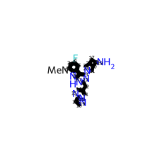 CNc1cc(F)cc2c1[nH]c1nc(Cc3cnc4ccnn4c3)nc(N3CC4CC(N)C4C3)c12